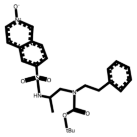 CC(CN(CCc1ccccc1)C(=O)OC(C)(C)C)NS(=O)(=O)c1ccc2c[n+]([O-])ccc2c1